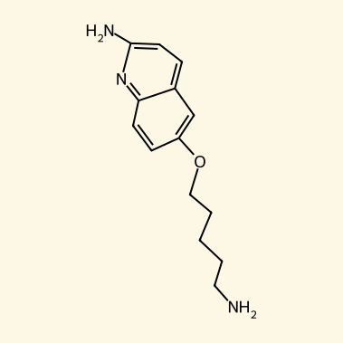 NCCCCCOc1ccc2nc(N)ccc2c1